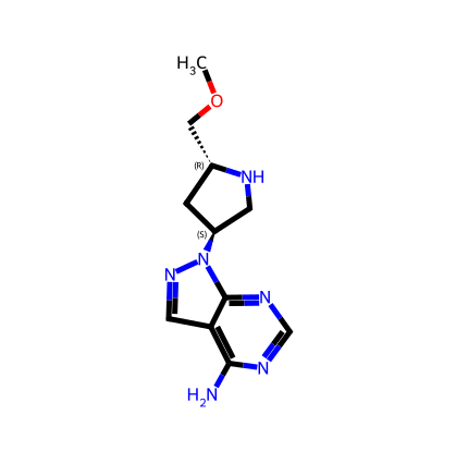 COC[C@H]1C[C@H](n2ncc3c(N)ncnc32)CN1